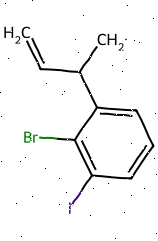 [CH2]C(C=C)c1cccc(I)c1Br